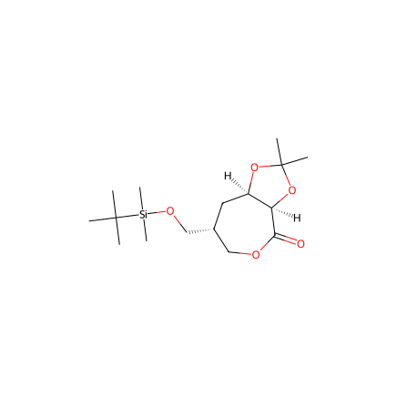 CC1(C)O[C@@H]2C[C@@H](CO[Si](C)(C)C(C)(C)C)COC(=O)[C@@H]2O1